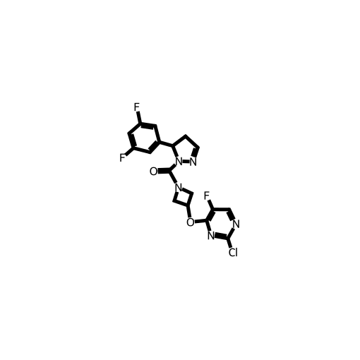 O=C(N1CC(Oc2nc(Cl)ncc2F)C1)N1N=CCC1c1cc(F)cc(F)c1